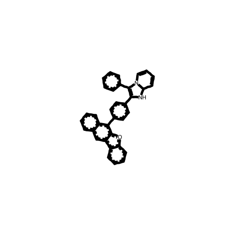 C1=CC2NC(c3ccc(-c4c5ccccc5cc5c4oc4ccccc45)cc3)=C(c3ccccc3)N2C=C1